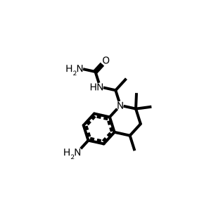 CC1CC(C)(C)N(C(C)NC(N)=O)c2ccc(N)cc21